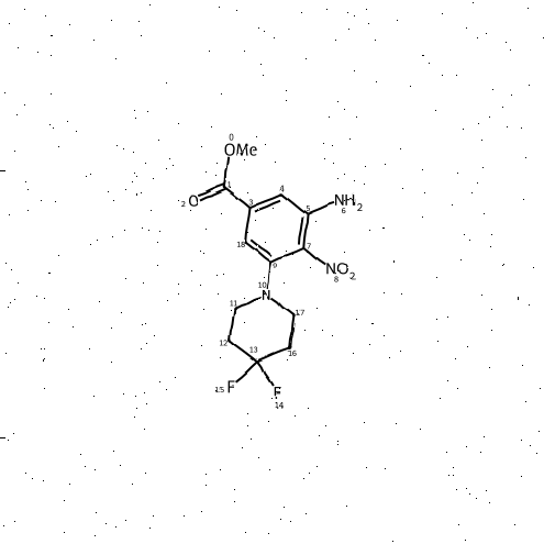 COC(=O)c1cc(N)c([N+](=O)[O-])c(N2CCC(F)(F)CC2)c1